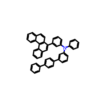 c1ccc(-c2ccc(-c3cccc(N(c4ccccc4)c4cccc(-c5cc6ccccc6c6c5ccc5ccccc56)c4)c3)cc2)cc1